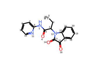 CC(C)CC(C(=O)Nc1ccccn1)N1C(=O)C(=O)c2ccccc21